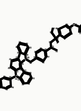 C=C(C)Oc1ccc(C(C)(CC)CC(C)c2ccc(Cn3c4ccccc4c4ccc5c(c6ccccc6n5-c5ccccc5)c43)cc2)cc1